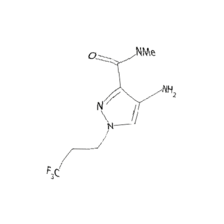 CNC(=O)c1nn(CCC(F)(F)F)cc1N